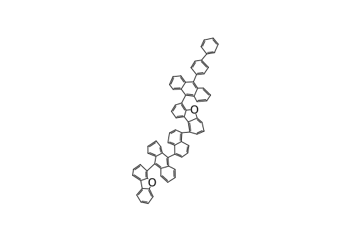 c1ccc(-c2ccc(-c3c4ccccc4c(-c4cccc5c4oc4cccc(-c6cccc7c(-c8c9ccccc9c(-c9cccc%10c9oc9ccccc9%10)c9ccccc89)cccc67)c45)c4ccccc34)cc2)cc1